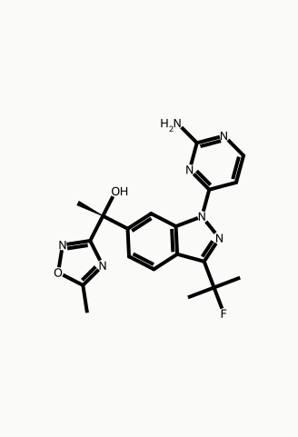 Cc1nc([C@](C)(O)c2ccc3c(C(C)(C)F)nn(-c4ccnc(N)n4)c3c2)no1